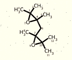 CC1(C)OC1(C)CC1(C)OC1(C)C